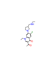 CCNCC1CCN(c2cc3c(cc2F)c(=O)c(C(C)=O)cn3CC)C1